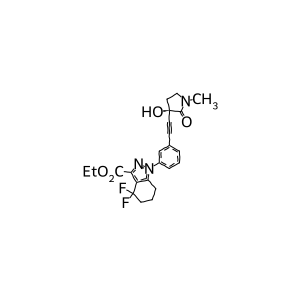 CCOC(=O)c1nn(-c2cccc(C#C[C@]3(O)CCN(C)C3=O)c2)c2c1C(F)(F)CCC2